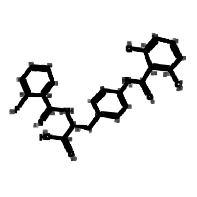 O=C(Nc1ccc(C[C@H](NC(=S)c2ccccc2F)C(=O)O)cc1)c1c(Cl)cccc1Cl